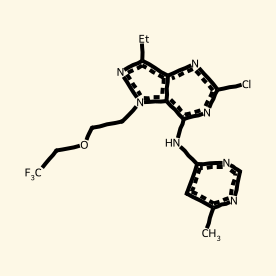 CCc1nn(CCOCC(F)(F)F)c2c(Nc3cc(C)ncn3)nc(Cl)nc12